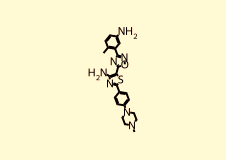 Cc1ccc(N)cc1-c1noc(-c2sc(-c3ccc(N4CCN(C)CC4)cc3)nc2N)n1